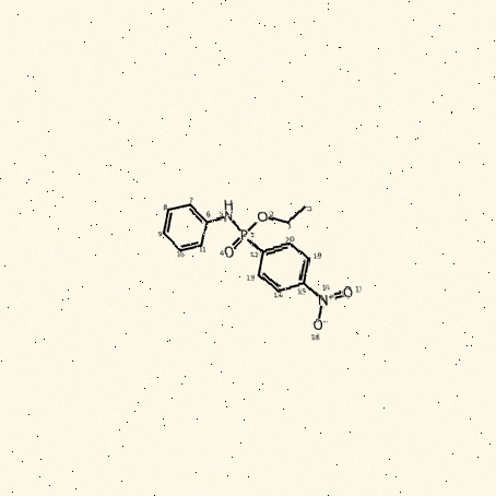 CCOP(=O)(Nc1ccccc1)c1ccc([N+](=O)[O-])cc1